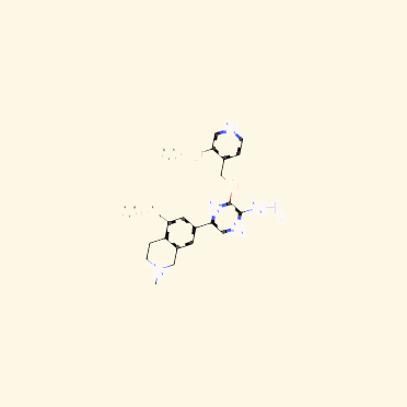 CNc1cc(-c2cnc(N)c(OCc3ccncc3OC)n2)cc2c1CCN(C)C2